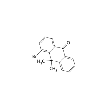 CC1(C)c2ccccc2C(=O)c2cccc(Br)c21